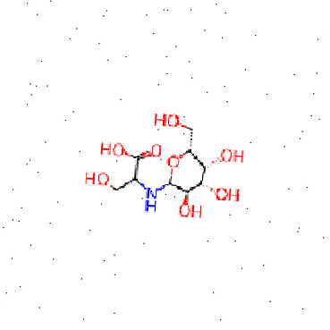 O=C(O)C(CO)NC1O[C@H](CO)[C@H](O)[C@H](O)[C@H]1O